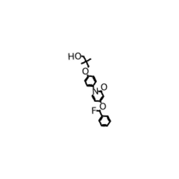 CC(C)(CO)COc1ccc(-n2ccc(OC(F)c3ccccc3)cc2=O)cc1